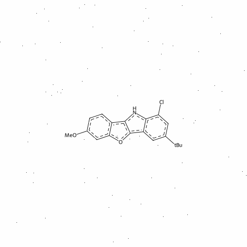 COc1ccc2c(c1)oc1c3cc(C(C)(C)C)cc(Cl)c3[nH]c21